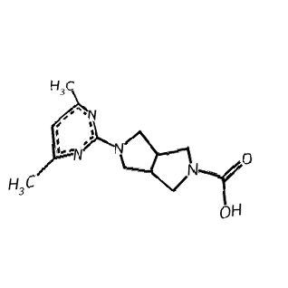 Cc1cc(C)nc(N2CC3CN(C(=O)O)CC3C2)n1